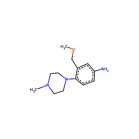 COCc1cc(N)ccc1N1CCN(C)CC1